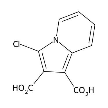 O=C(O)c1c(C(=O)O)c2ccccn2c1Cl